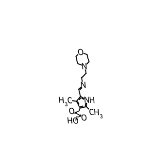 Cc1[nH]c(C=NCCN2CCOCC2)c(C)c1S(=O)(=O)O